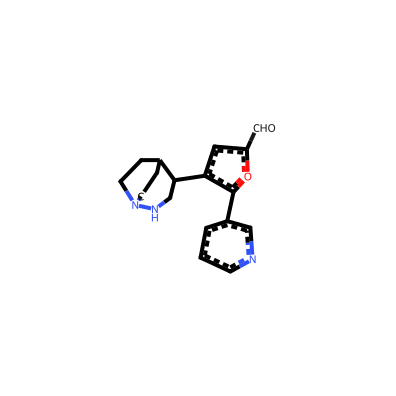 O=Cc1cc(C2CNN3CCC2CC3)c(-c2cccnc2)o1